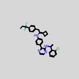 CCC(F)(F)c1ccc(CC(Nc2ccc(-c3nccnc3NC(C)c3ccccc3Cl)cc2)=C2CCC2)cc1